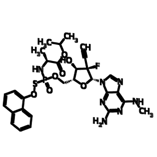 C#C[C@@]1(F)[C@H](O)[C@@H](COP(=O)(N[C@@H](C)C(=O)OC(C)C)SOc2cccc3ccccc23)O[C@H]1n1cnc2c(NC)nc(N)nc21